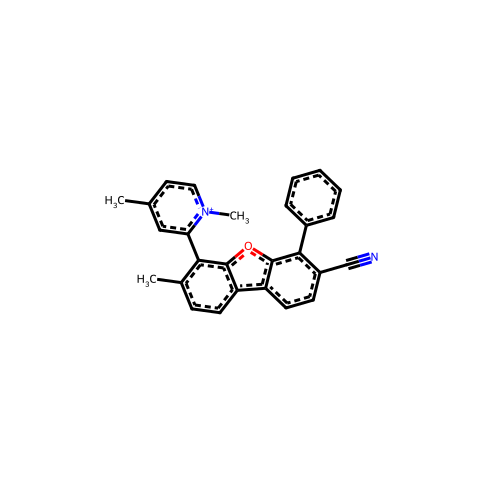 Cc1cc[n+](C)c(-c2c(C)ccc3c2oc2c(-c4ccccc4)c(C#N)ccc23)c1